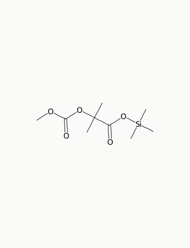 COC(=O)OC(C)(C)C(=O)O[Si](C)(C)C